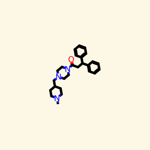 CN1CCC(CN2CCN(C(=O)CC(c3ccccc3)c3ccccc3)CC2)CC1